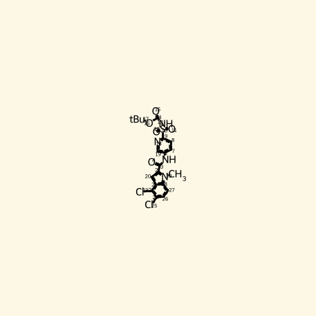 Cn1c(C(=O)Nc2ccc(S(=O)(=O)NC(=O)OC(C)(C)C)nc2)cc2c(Cl)c(Cl)ccc21